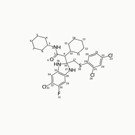 O=C(NC1CCCCC1)C(C1CCCCC1)C1(CSc2ccc(Cl)cc2Cl)Nc2cc(F)c(Cl)cc2N1